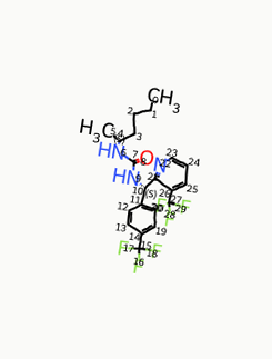 CCCC[C@H](C)NC(=O)N[C@@H](c1ccc(C(F)(F)F)cc1)c1ncccc1C(F)(F)F